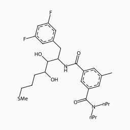 CCCN(CCC)C(=O)c1cc(C)cc(C(=O)NC(Cc2cc(F)cc(F)c2)C(O)C(O)CCCSC)c1